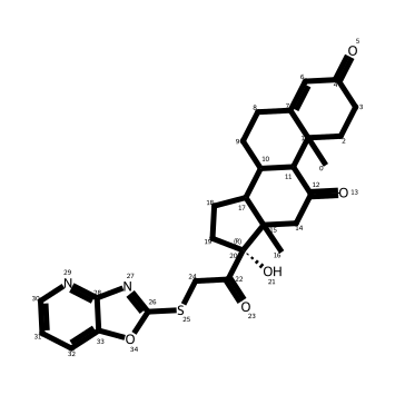 CC12CCC(=O)C=C1CCC1C2C(=O)CC2(C)C1CC[C@]2(O)C(=O)CSc1nc2ncccc2o1